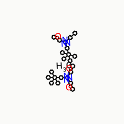 CC1(c2ccc(-c3c(-c4ccccc4)cc(-c4ccc(-c5nc(-c6ccc(-c7ccccc7)cc6)nc(-c6ccc7c(c6)oc6ccccc67)n5)cc4)c(-c4ccccc4)c3-c3ccccc3)cc2)CC=Cc2c1oc1cc(-c3nc(-c4ccc(-c5cc(-c6ccccc6)c(-c6ccccc6)c(-c6ccccc6)c5-c5ccccc5)cc4)nc(-c4ccc5c(c4)oc4ccccc45)n3)ccc21